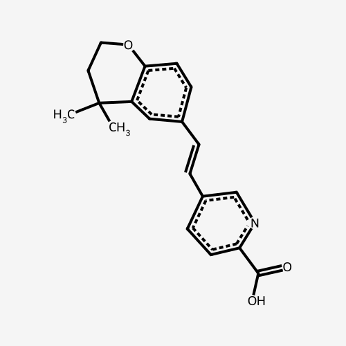 CC1(C)CCOc2ccc(C=Cc3ccc(C(=O)O)nc3)cc21